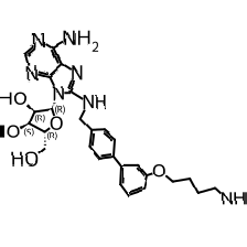 NCCCCOc1cccc(-c2ccc(CNc3nc4c(N)ncnc4n3[C@@H]3O[C@H](CO)[C@@H](O)[C@H]3O)cc2)c1